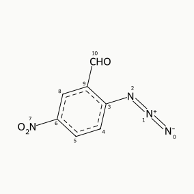 [N-]=[N+]=Nc1ccc([N+](=O)[O-])cc1C=O